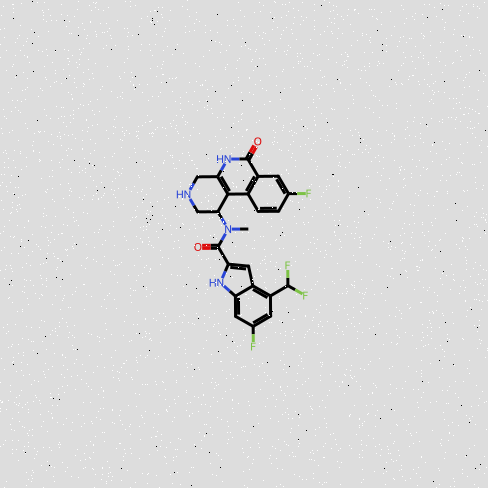 CN(C(=O)c1cc2c(C(F)F)cc(F)cc2[nH]1)C1CNCc2[nH]c(=O)c3cc(F)ccc3c21